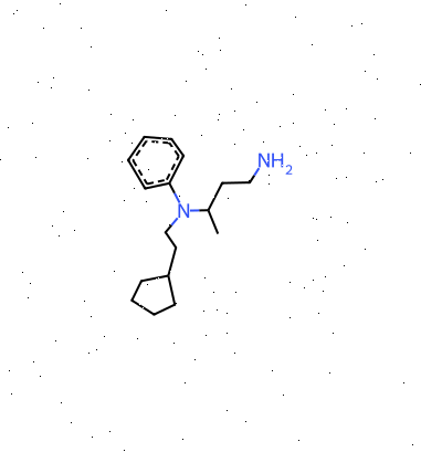 CC(CCN)N(CCC1CCCC1)c1ccccc1